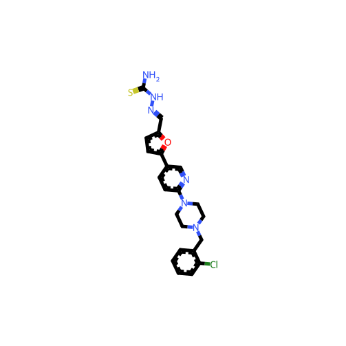 NC(=S)N/N=C/c1ccc(-c2ccc(N3CCN(Cc4ccccc4Cl)CC3)nc2)o1